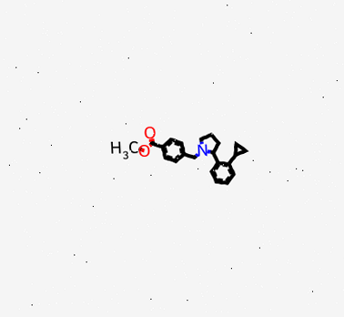 COC(=O)c1ccc(CN2CCCC2c2ccccc2C2CC2)cc1